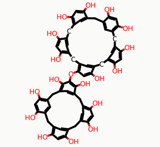 Oc1cc(O)c2cc1Cc1cc(c(O)cc1O)Cc1cc(c(O)cc1O)Cc1cc(c(O)cc1Oc1c(O)c3cc(c1O)Cc1cc(c(O)cc1O)Cc1cc(c(O)cc1O)Cc1cc(c(O)cc1O)C3)Cc1cc(c(O)cc1O)C2